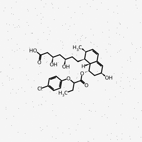 CCC(Oc1ccc(Cl)cc1)C(=O)O[C@H]1C[C@H](O)C=C2C=C[C@H](C)[C@H](CC[C@@H](O)C[C@@H](O)CC(=O)O)[C@H]21